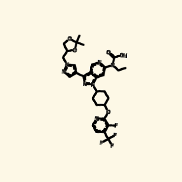 CCN(C(=O)O)c1cc2c(cn1)c(-c1cnn(CC3COC(C)(C)O3)c1)nn2C1CCC(Oc2nccc(C(F)(F)F)c2F)CC1